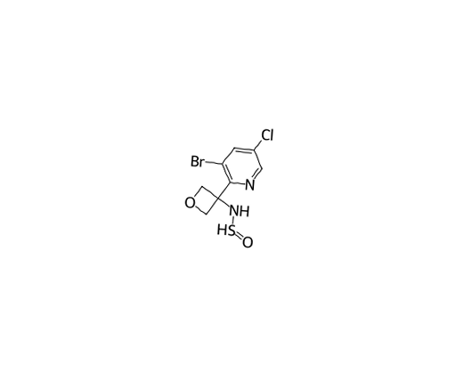 O=[SH]NC1(c2ncc(Cl)cc2Br)COC1